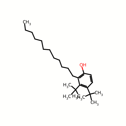 CCCCCCCCCCCCc1c(O)ccc(C(C)(C)C)c1C(C)(C)C